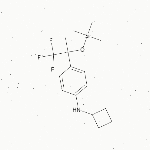 CC(O[Si](C)(C)C)(c1ccc(NC2CCC2)cc1)C(F)(F)F